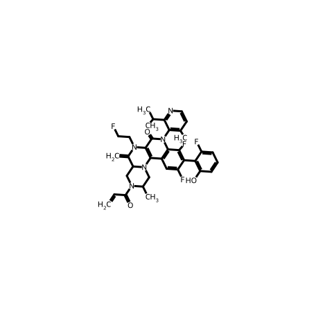 C=CC(=O)N1CC2C(=C)N(CCF)c3c(c4cc(F)c(-c5c(O)cccc5F)c(F)c4n(-c4c(C)ccnc4C(C)C)c3=O)N2CC1C